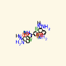 [H]/N=N/C1=C(N)c2ccccc2C(c2c(Br)cc(-c3cc(Br)c(C4(S(N)(=O)=O)CC(/N=N/[H])=C(N)c5ccccc54)c(Br)c3)cc2Br)(S(N)(=O)=O)C1